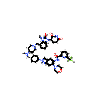 CN(C[C@H]1CC[C@H](n2cc3cc(NC(=O)c4cccc(C(F)(F)F)n4)c(N4CCOCC4)cc3n2)CC1)C1CCN(Cc2cccc3c2n(C)c(=O)n3C2CCC(=O)NC2=O)CC1